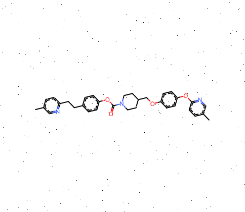 Cc1ccc(CCc2ccc(OC(=O)N3CCC(COc4ccc(Oc5ccc(C)cn5)cc4)CC3)cc2)nc1